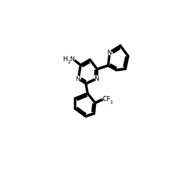 Nc1cc(-c2ccccn2)nc(-c2ccccc2C(F)(F)F)n1